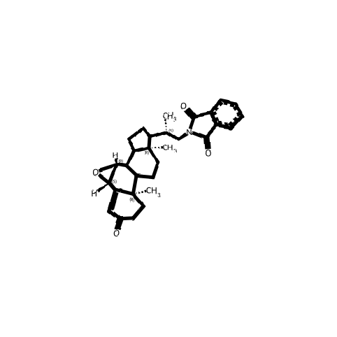 C[C@H](CN1C(=O)c2ccccc2C1=O)C1CCC2C3C(CC[C@@]21C)[C@@]1(C)CCC(=O)C=C1[C@@H]1O[C@H]31